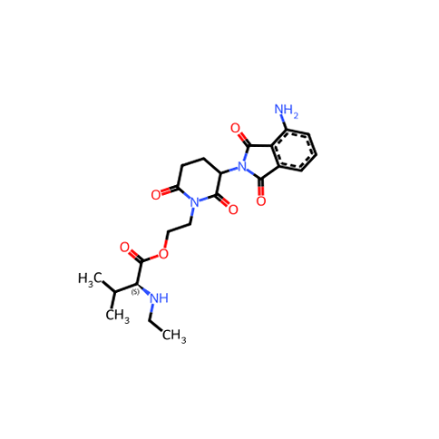 CCN[C@H](C(=O)OCCN1C(=O)CCC(N2C(=O)c3cccc(N)c3C2=O)C1=O)C(C)C